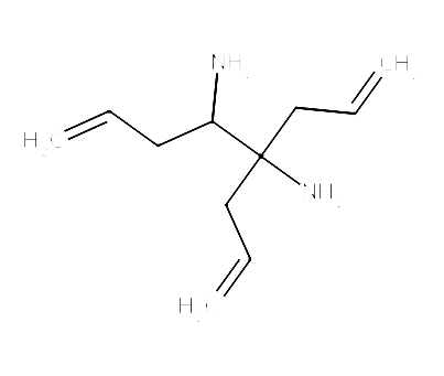 C=CCC(N)C(N)(CC=C)CC=C